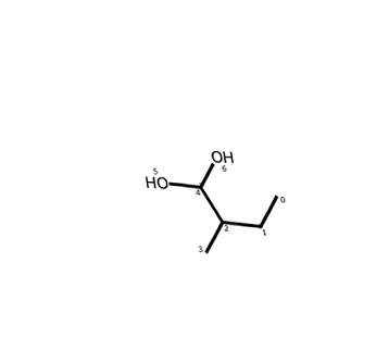 CCC(C)[C](O)O